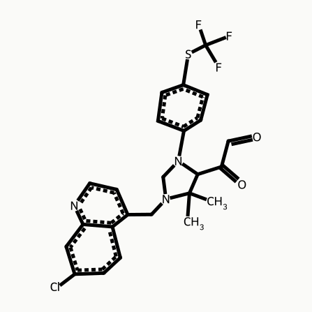 CC1(C)C(C(=O)C=O)N(c2ccc(SC(F)(F)F)cc2)CN1Cc1ccnc2cc(Cl)ccc12